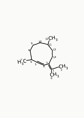 CC(C)=C1C=CC(C)CCCC(C)CC1